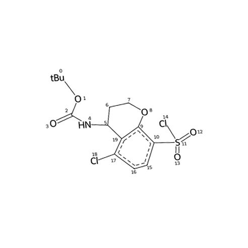 CC(C)(C)OC(=O)NC1CCOc2c(S(=O)(=O)Cl)ccc(Cl)c21